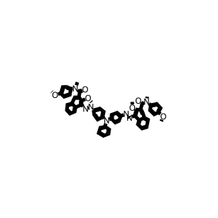 COc1ccc(N(C)C(=O)c2cc3ccccc3c(N=Nc3ccc(N(c4ccccc4)c4ccc(N=Nc5c(OC)c(C(=O)N(C)c6ccc(OC)cc6)cc6ccccc56)cc4)cc3)c2OC)cc1